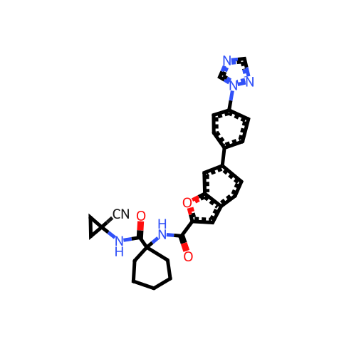 N#CC1(NC(=O)C2(NC(=O)c3cc4ccc(-c5ccc(-n6cncn6)cc5)cc4o3)CCCCC2)CC1